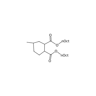 CCCCCCCCOC(=O)C1CCC(C)CC1C(=O)OCCCCCCCC